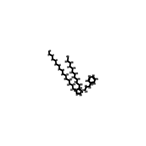 CCCCCCCCCCCCCCCCn1cc[n+](CCCc2ccccc2)c1CCCCCCCCCCC